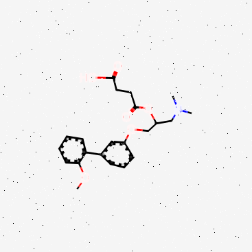 COc1ccccc1-c1cccc(OCC(CN(C)C)OC(=O)CCC(=O)O)c1